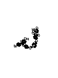 O=C1CCC(N2C(=O)c3ccc(OCCC4CCN(CCOc5ccc(Oc6c(-c7ccc(Br)cc7)sc7cc(O)ccc67)cc5)CC4)cc3C2=O)C(=O)N1